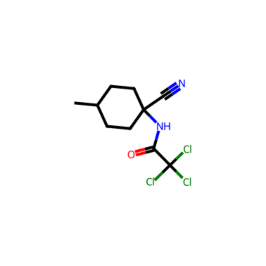 CC1CCC(C#N)(NC(=O)C(Cl)(Cl)Cl)CC1